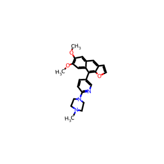 COc1cc2cc3ccoc3c(-c3ccc(N4CCN(C)CC4)nc3)c2cc1OC